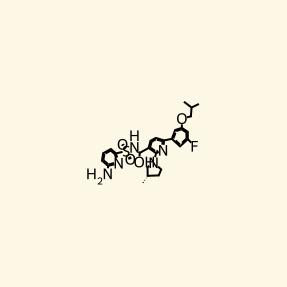 CC(C)COc1cc(F)cc(-c2ccc(C(O)NS(=O)(=O)c3cccc(N)n3)c(N3CC[C@H](C)C3)n2)c1